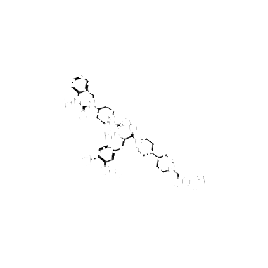 Cc1cc(CC(NC(=O)N2CCC(N3Cc4ccccc4NC3=O)CC2)C(=O)N2CCC(C3CCN(CC(=O)O)CC3)CC2)ccc1Cl